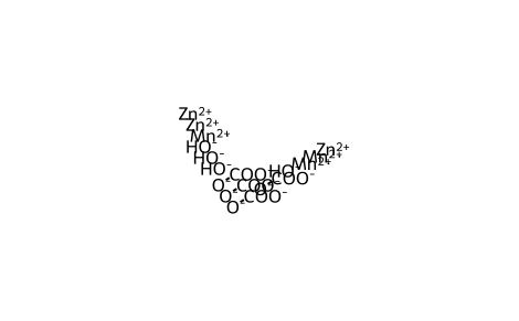 O=C([O-])[O-].O=C([O-])[O-].O=C([O-])[O-].O=C([O-])[O-].[Mn+2].[Mn+2].[Mn+2].[OH-].[OH-].[OH-].[OH-].[Zn+2].[Zn+2].[Zn+2]